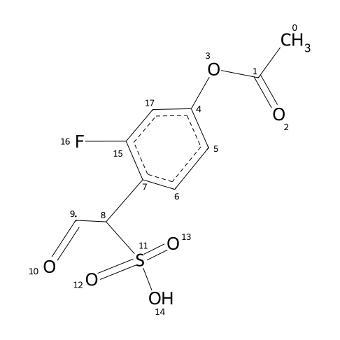 CC(=O)Oc1ccc(C([C]=O)S(=O)(=O)O)c(F)c1